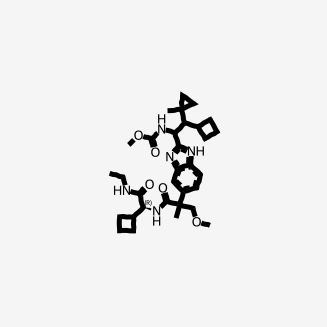 CCNC(=O)[C@H](NC(=O)C(C)(COC)c1ccc2[nH]c(C(NC(=O)OC)C(C3CCC3)C3(C)CC3)nc2c1)C1CCC1